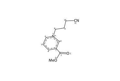 COC(=O)c1ccc[n+](CCCC#N)c1